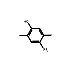 Bc1cc(C)c(O)cc1F